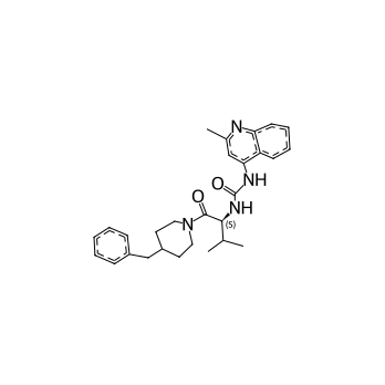 Cc1cc(NC(=O)N[C@H](C(=O)N2CCC(Cc3ccccc3)CC2)C(C)C)c2ccccc2n1